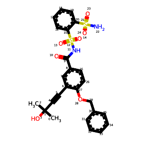 CC(C)(O)C#Cc1cc(C(=O)NS(=O)(=O)c2ccccc2S(N)(=O)=O)ccc1OCc1ccccc1